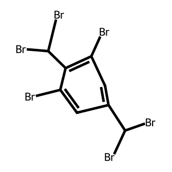 Brc1cc(C(Br)Br)cc(Br)c1C(Br)Br